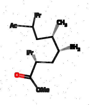 B[C@H](C[C@H](C(=O)OC)C(C)C)[C@@H](C)CC(C(C)=O)C(C)C